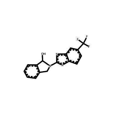 OC1c2ccccc2CN1c1nc2ccc(C(F)(F)F)cc2s1